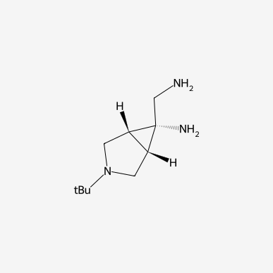 CC(C)(C)N1C[C@@H]2[C@H](C1)[C@@]2(N)CN